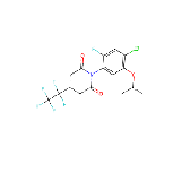 CC(C)Oc1cc(N2C(=O)CC(C(F)(F)C(F)(F)F)CC2=O)c(F)cc1Cl